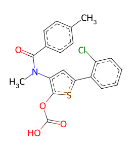 Cc1ccc(C(=O)N(C)c2cc(-c3ccccc3Cl)sc2OC(=O)O)cc1